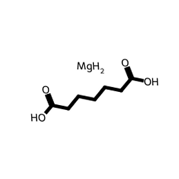 O=C(O)CCCCCC(=O)O.[MgH2]